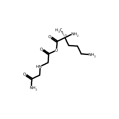 C[C@](N)(CCCN)C(=O)OC(=O)CNCC(N)=O